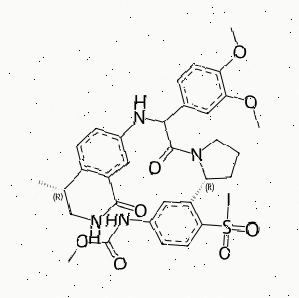 COC(=O)Nc1ccc(S(=O)(=O)I)c([C@H]2CCCN2C(=O)C(Nc2ccc3c(c2)C(=O)NC[C@@H]3C)c2ccc(OC)c(OC)c2)c1